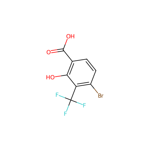 O=C(O)c1ccc(Br)c(C(F)(F)F)c1O